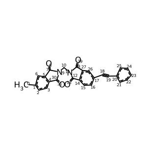 Cc1ccc2c(c1)C(=O)N(CN1C(=O)c3ccc(C#Cc4ccccc4)cc3C1=O)C2=O